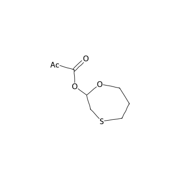 CC(=O)C(=O)OC1CSCCCO1